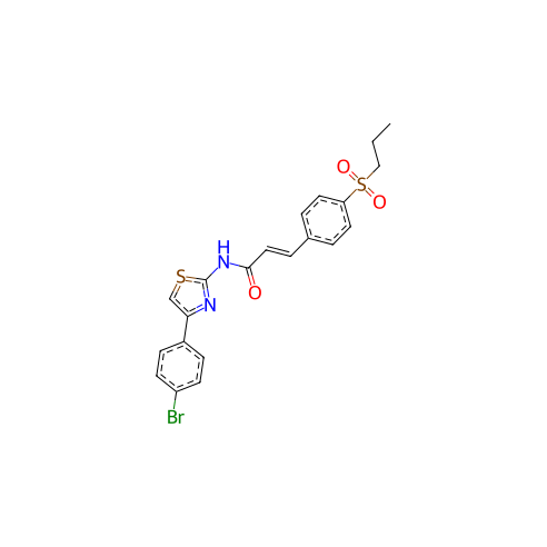 CCCS(=O)(=O)c1ccc(C=CC(=O)Nc2nc(-c3ccc(Br)cc3)cs2)cc1